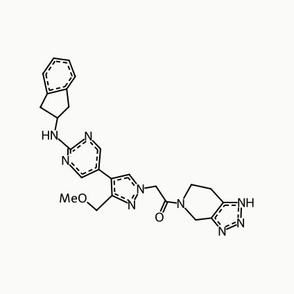 COCc1nn(CC(=O)N2CCc3[nH]nnc3C2)cc1-c1cnc(NC2Cc3ccccc3C2)nc1